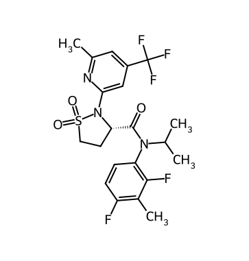 Cc1cc(C(F)(F)F)cc(N2[C@H](C(=O)N(c3ccc(F)c(C)c3F)C(C)C)CCS2(=O)=O)n1